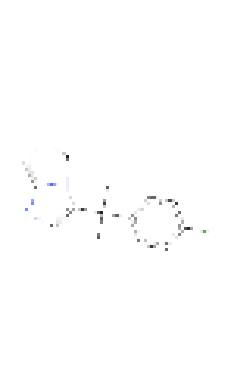 CC(C)(C1=CNC2=CSCN21)c1ccc(Cl)cc1